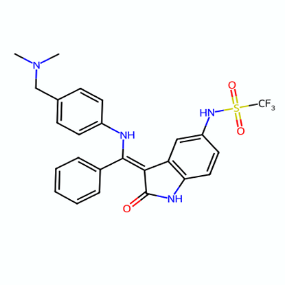 CN(C)Cc1ccc(NC(=C2C(=O)Nc3ccc(NS(=O)(=O)C(F)(F)F)cc32)c2ccccc2)cc1